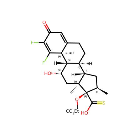 CCOC(=O)O[C@]1(C(O)=S)[C@H](C)C[C@H]2[C@@H]3CCC4=CC(=O)C(F)=C(F)[C@]4(C)[C@H]3[C@@H](O)C[C@@]21C